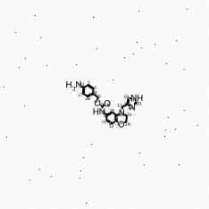 Nc1ccc(COC(=O)Nc2ccc3c(c2)N(Cc2c[nH]cn2)CCO3)cc1